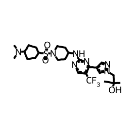 CN(C)C1CCC(S(=O)(=O)N2CCC(Nc3ncc(C(F)(F)F)c(-c4cnn(CC(C)(C)O)c4)n3)CC2)CC1